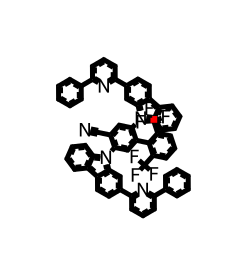 N#Cc1cc(-n2c3ccccc3c3ccc(-c4cccc(-c5ccccc5)n4)cc32)c(-c2c(C(F)(F)F)cccc2C(F)(F)F)cc1-n1c2ccccc2c2ccc(-c3cccc(-c4ccccc4)n3)cc21